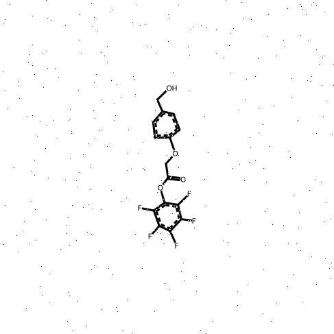 O=C(COc1ccc(CO)cc1)Oc1c(F)c(F)c(F)c(F)c1F